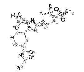 CC(C)c1noc(N2CCC(O[C@H](C)c3nc(-c4ccc(S(C)(=O)=O)c(F)c4)no3)CC2)n1